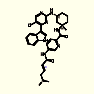 CN(C)C/C=C/C(=O)Nc1ccc(C(=O)N[C@@]2(C)CCC[C@@H](Nc3ncc(Cl)c(-c4c[nH]c5ccccc45)n3)C2)nc1